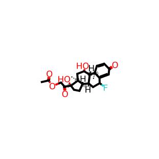 CC(=O)OCC(=O)[C@@]1(O)CC[C@H]2[C@@H]3CC(F)C4=CC(=O)C=C[C@]4(C)[C@H]3C(O)C[C@@]21C